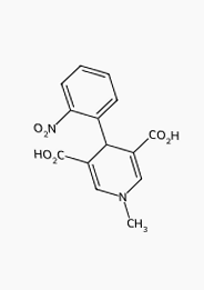 CN1C=C(C(=O)O)C(c2ccccc2[N+](=O)[O-])C(C(=O)O)=C1